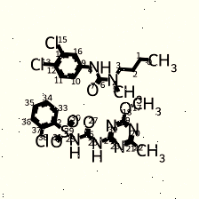 CCCCN(C)C(=O)Nc1ccc(Cl)c(Cl)c1.COc1nc(C)nc(NC(=O)NS(=O)(=O)c2ccccc2Cl)n1